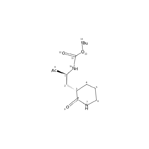 CC(=O)[C@H](C[C@@H]1CCCNC1=O)NC(=O)OC(C)(C)C